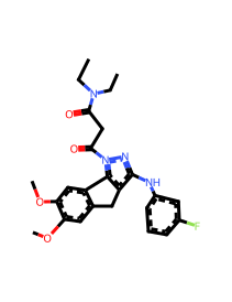 CCN(CC)C(=O)CC(=O)n1nc(Nc2cccc(F)c2)c2c1-c1cc(OC)c(OC)cc1C2